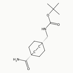 CC(C)(C)OC(=O)NC[C@]12CC[C@](C(N)=O)(CC1)CC2